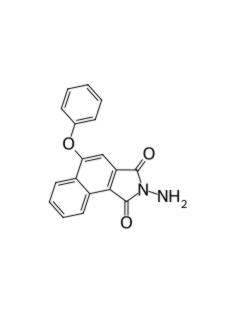 NN1C(=O)c2cc(Oc3ccccc3)c3ccccc3c2C1=O